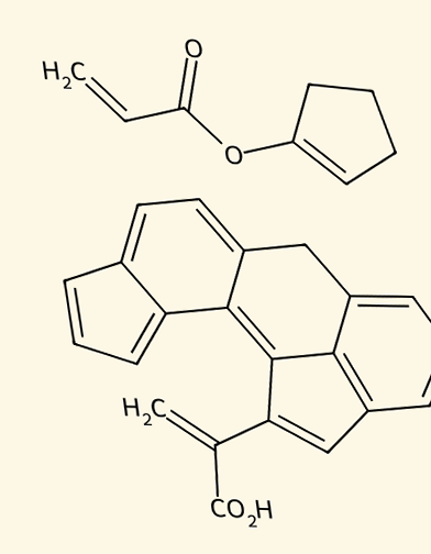 C=C(C(=O)O)C1=Cc2cccc3c2C1=c1c(ccc2c1=CC=C2)C3.C=CC(=O)OC1=CCCC1